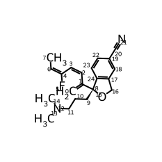 C=C(/C=C\C(F)=C/C)[C@@]1(CCCN(C)C)OCc2cc(C#N)ccc21